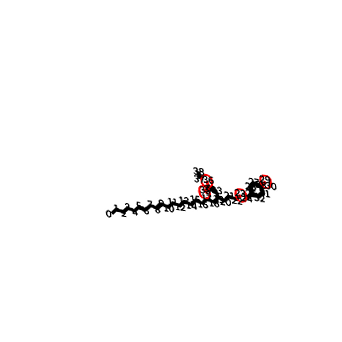 CCCCCC=CCC=CCCCCCCCCCC(CCCOCc1ccc(OC)cc1)CC(=O)OCC